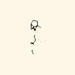 CCOC(=O)[C@@H](N)CSC1CC2CCC1(C)C2(C)C